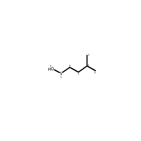 CC(C)CCSO